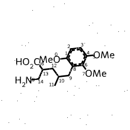 COc1ccc(OC)c(OC)c1CC(C)CC(CN)C(=O)O